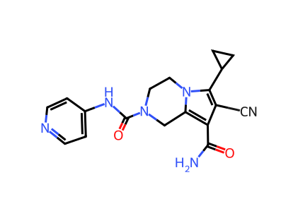 N#Cc1c(C(N)=O)c2n(c1C1CC1)CCN(C(=O)Nc1ccncc1)C2